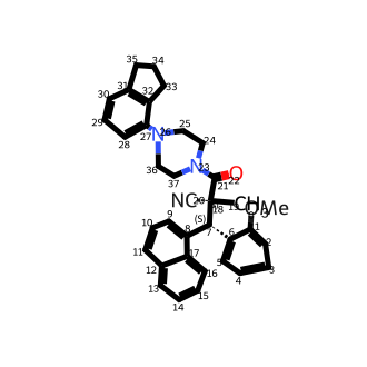 COc1ccccc1[C@H](c1cccc2ccccc12)[C@@](C)(C#N)C(=O)N1CCN(c2cccc3c2CCC3)CC1